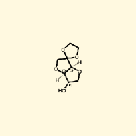 O[C@@H]1CO[C@H]2[C@@H]1OCC21OCCO1